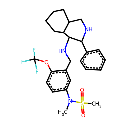 CN(c1ccc(OC(F)(F)F)c(CNC2C(c3ccccc3)NCC3CCCCC32)c1)S(C)(=O)=O